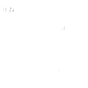 Cl.NCCCCC1CCCCC1